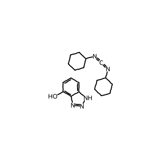 C(=NC1CCCCC1)=NC1CCCCC1.Oc1cccc2[nH]nnc12